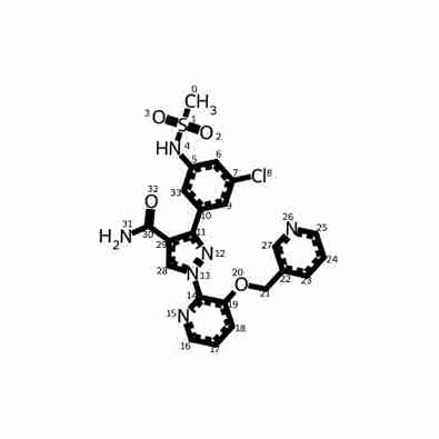 CS(=O)(=O)Nc1cc(Cl)cc(-c2nn(-c3ncccc3OCc3cccnc3)cc2C(N)=O)c1